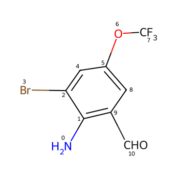 Nc1c(Br)cc(OC(F)(F)F)cc1C=O